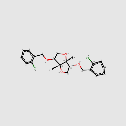 Clc1ccccc1CO[C@H]1CO[C@H]2[C@@H]1OC[C@H]2OCc1ccccc1Cl